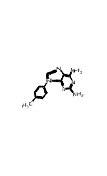 Cc1ccc(-n2cnc3c(N)nc(N)nc32)cc1